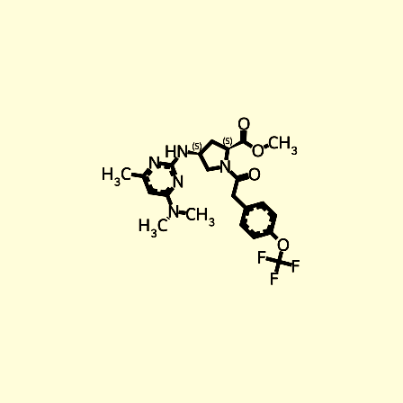 COC(=O)[C@@H]1C[C@H](Nc2nc(C)cc(N(C)C)n2)CN1C(=O)Cc1ccc(OC(F)(F)F)cc1